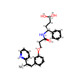 N#CC(=Cc1cccc(OCCC(=O)N[C@@H](CCB(O)O)c2ccccc2)c1)c1ccccn1